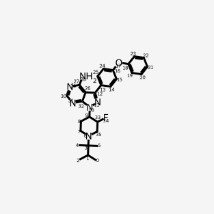 CC(C)C(C)(C)N1CCC(n2nc(-c3ccc(Oc4ccccc4)cc3)c3c(N)ncnc32)C(F)C1